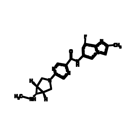 CN[C@@H]1[C@@H]2CN(c3cnc(C(=O)Nc4cc(F)c5nc(C)cn5c4)cn3)C[C@@H]21